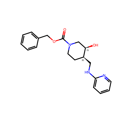 O=C(OCc1ccccc1)N1CC[C@H](CNc2ccccn2)[C@H](O)C1